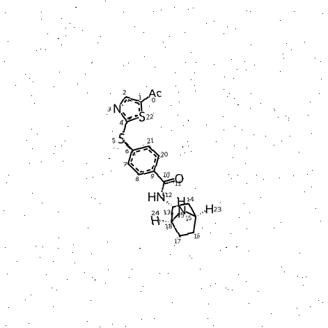 CC(=O)c1cnc(Sc2ccc(C(=O)N[C@@H]3C[C@H]4CC[C@@H]3N4)cc2)s1